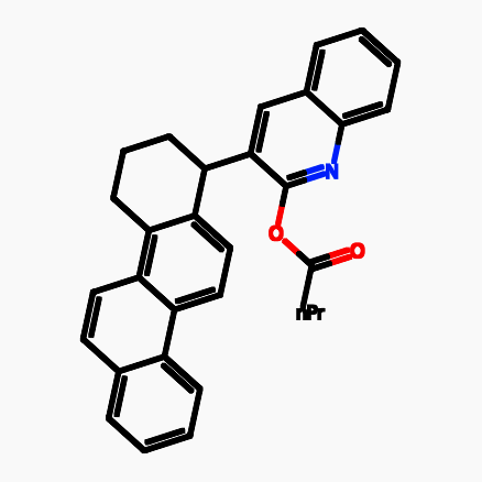 CCCC(=O)Oc1nc2ccccc2cc1C1CCCc2c1ccc1c2ccc2ccccc21